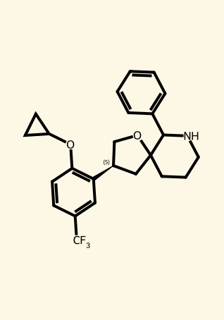 FC(F)(F)c1ccc(OC2CC2)c([C@H]2COC3(CCCNC3c3ccccc3)C2)c1